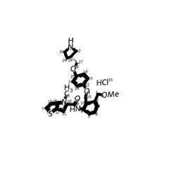 COCc1cccc(NC(=O)c2cc3sccc3n2C)c1COc1ccc(OC[C@@H]2CCNC2)cc1.Cl